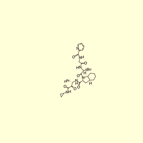 CCC[C@H](NC(=O)[C@@H]1C[C@@H]2CCCC[C@@H]2N1C(=O)[C@@H](NC(=O)CNC(=O)c1ccccn1)C(C)(C)C)C(=O)C(=O)NC1CC1